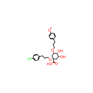 COc1ccc(CCCO[C@@H]2C[C@](OCCCc3ccc(Cl)cc3)(C(=O)O)C[C@H](O)[C@H]2O)cc1